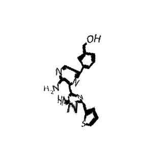 Nc1ncc(-c2cccc(CO)c2)nc1-c1nc(-c2cccs2)n[nH]1